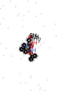 CC(C)(C)Oc1ccc(C[C@H](NC(=O)[C@H](CSC(c2ccccc2)(c2ccccc2)c2ccccc2)NC(=O)OCC2c3ccccc3-c3ccccc32)C(=O)O)cc1